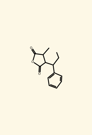 CCC(c1ccccc1)C1C(=O)OC(=O)C1C